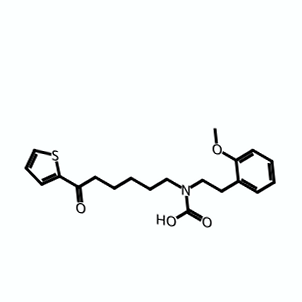 COc1ccccc1CCN(CCCCCC(=O)c1cccs1)C(=O)O